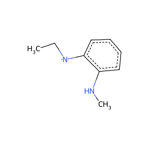 CC[N]c1ccccc1NC